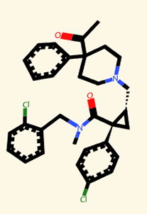 CC(=O)C1(c2ccccc2)CCN(C[C@@H]2C[C@@]2(C(=O)N(C)Cc2ccccc2Cl)c2ccc(Cl)cc2)CC1